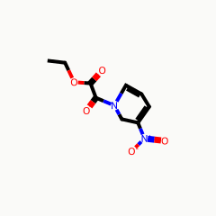 CCOC(=O)C(=O)N1C=CC=C([N+](=O)[O-])C1